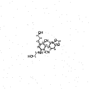 N#Cc1c(NCCO)nc(SCCO)c(C#N)c1-c1ccc2c(c1)OCO2